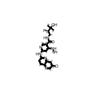 CC(C)Nc1cc(Nc2ccc3ncc(Cl)cc3n2)ncc1C(=O)NC[C@@H](F)C(C)(C)O